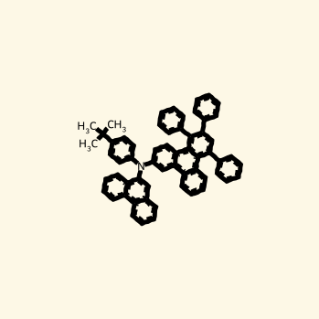 CC(C)(C)c1ccc(N(c2ccc3c(c2)c2ccccc2c2c(-c4ccccc4)cc(-c4ccccc4)c(-c4ccccc4)c32)c2cc3ccccc3c3ccccc23)cc1